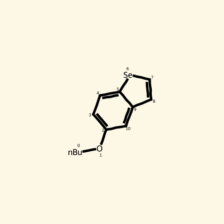 CCCCOc1ccc2[se]ccc2c1